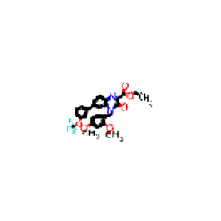 CCOC(=O)c1nc2ccc(-c3cccc(OC(F)(F)F)c3)cc2n(Cc2ccc(OC)cc2OC)c1=O